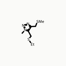 CCSCc1c(CSC)nnn1C